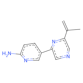 C=C(C)c1cncc(-c2ccc(N)nc2)n1